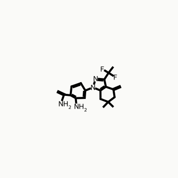 C=C(N)c1ccc(-n2nc(C(C)(F)F)c3c2CC(C)(C)CC3=C)cc1N